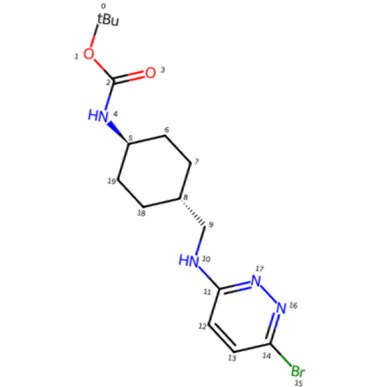 CC(C)(C)OC(=O)N[C@H]1CC[C@H](CNc2ccc(Br)nn2)CC1